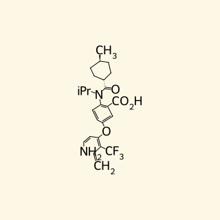 C=C/C(=C(\C=C/N)Oc1ccc(N(C(=O)[C@H]2CC[C@H](C)CC2)C(C)C)c(C(=O)O)c1)C(F)(F)F